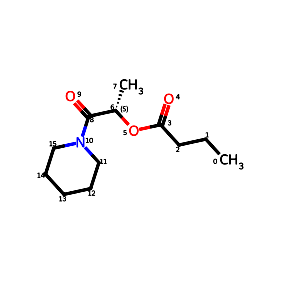 CCCC(=O)O[C@@H](C)C(=O)N1CCCCC1